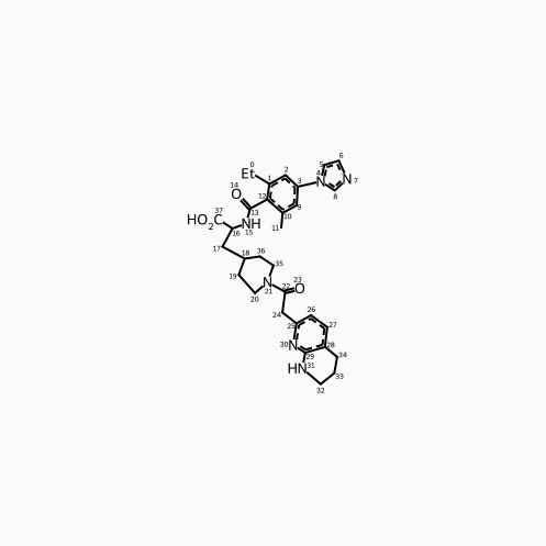 CCc1cc(-n2ccnc2)cc(C)c1C(=O)NC(CC1CCN(C(=O)Cc2ccc3c(n2)NCCC3)CC1)C(=O)O